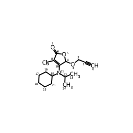 C#CCOC1OC(=O)C(Cl)=C1N(C(C)C)C1CCCCC1